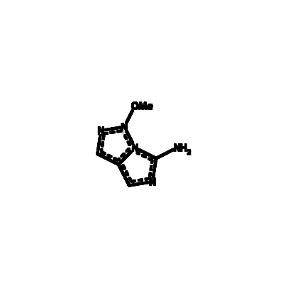 COn1ncc2cnc(N)n21